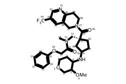 COC1COCCC1NC1CC[C@](CN(C)C(=O)COc2ccccc2)(C(=O)N2CCc3ncc(C(F)(F)F)cc3C2)C1